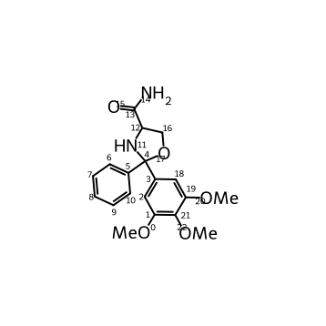 COc1cc(C2(c3ccccc3)NC(C(N)=O)CO2)cc(OC)c1OC